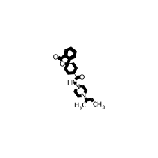 CCC(C)N1CCN(NC(=O)[C@H]2CC[C@@]3(CC2)OC(=O)c2ccccc23)CC1